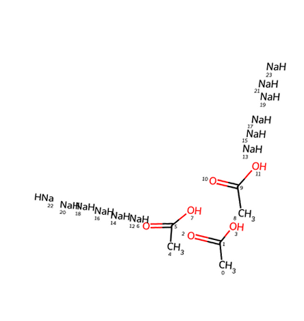 CC(=O)O.CC(=O)O.CC(=O)O.[NaH].[NaH].[NaH].[NaH].[NaH].[NaH].[NaH].[NaH].[NaH].[NaH].[NaH].[NaH]